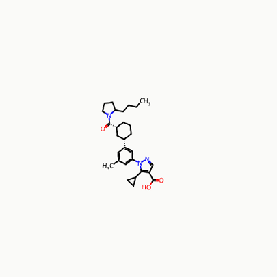 CCCCC1CCCN1C(=O)[C@@H]1CCC[C@H](c2cc(C)cc(-n3ncc(C(=O)O)c3C3CC3)c2)C1